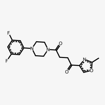 Cc1nc(C(=O)CCC(=O)N2CCN(c3cc(F)cc(F)c3)CC2)co1